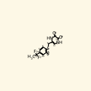 CC(F)(F)c1ccc(SCc2c[nH]c(=O)c(=O)[nH]2)c(F)c1